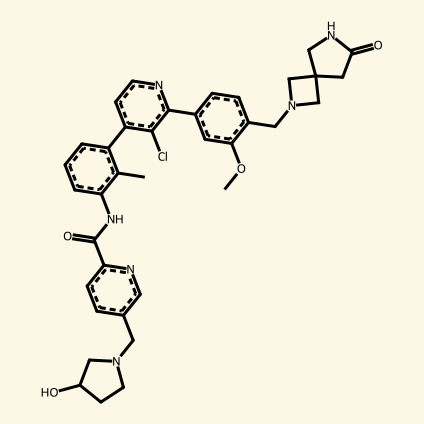 COc1cc(-c2nccc(-c3cccc(NC(=O)c4ccc(CN5CCC(O)C5)cn4)c3C)c2Cl)ccc1CN1CC2(CNC(=O)C2)C1